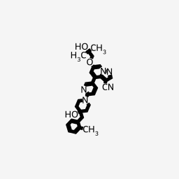 Cc1ccccc1CC1(O)CCN(c2ccc(-c3cc(OCC(C)(C)O)cn4ncc(C#N)c34)cn2)CC1